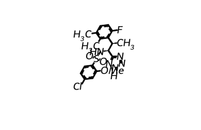 COc1cc(Cl)ccc1S(=O)(=O)N[C@H](c1nn[nH]n1)[C@H](C)c1c(F)ccc(C)c1C